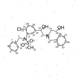 CS(=O)(=O)N(Cc1ccccc1)c1cc(C(O)CN(CCO)Cc2ccccc2)ccc1Cl